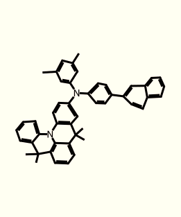 Cc1cc(C)cc(N(c2ccc(-c3ccc4ccccc4c3)cc2)c2ccc3c(c2)C(C)(C)c2cccc4c2N3c2ccccc2C4(C)C)c1